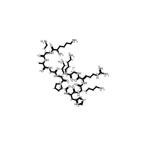 CC(NC(=O)[C@H](CCN)NC(=O)C(N)CCCCN)C(=O)NCC(=O)N[C@H](CCCN)C(=O)N1CCC[C@H]1C(=O)NC(Cc1cnc[nH]1)C(=O)N[C@@H](CCCCN)C(=O)N/C(=C\CCNC(=N)N)C(=O)N[C@@H](C)C(=O)NCCCCN